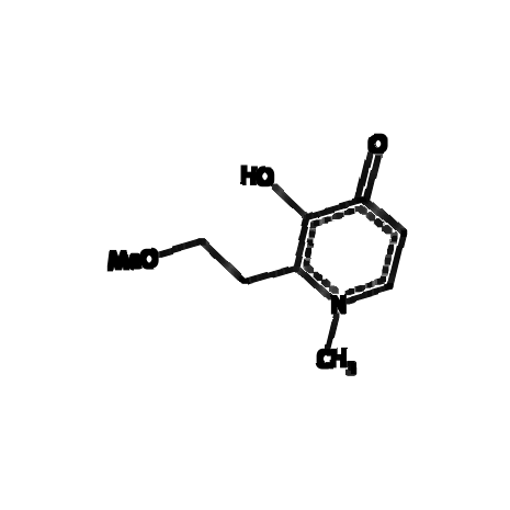 COCCc1c(O)c(=O)ccn1C